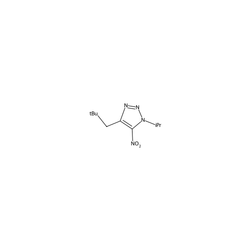 CC(C)n1nnc(CC(C)(C)C)c1[N+](=O)[O-]